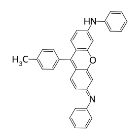 Cc1ccc(-c2c3cc/c(=N\c4ccccc4)cc-3oc3cc(Nc4ccccc4)ccc23)cc1